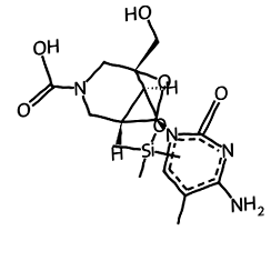 Cc1cn([C@@H]2O[C@@]3(CO)CN(C(=O)O)C[C@@H]2[C@@H]3O[Si](C)(C)C)c(=O)nc1N